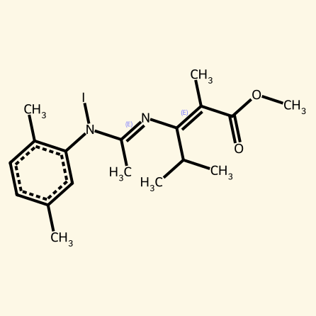 COC(=O)/C(C)=C(/N=C(\C)N(I)c1cc(C)ccc1C)C(C)C